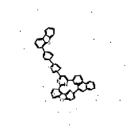 c1ccc(-c2cc(-c3ccc(-c4ccc(-c5cccc6c5sc5ccccc56)cc4)cc3)nc(-c3cccc4oc5ccc(-c6ccc7ccccc7c6)cc5c34)n2)cc1